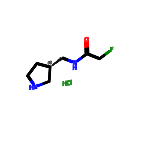 Cl.O=C(CF)NC[C@H]1CCNC1